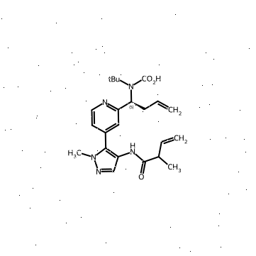 C=CC[C@@H](c1cc(-c2c(NC(=O)C(C)C=C)cnn2C)ccn1)N(C(=O)O)C(C)(C)C